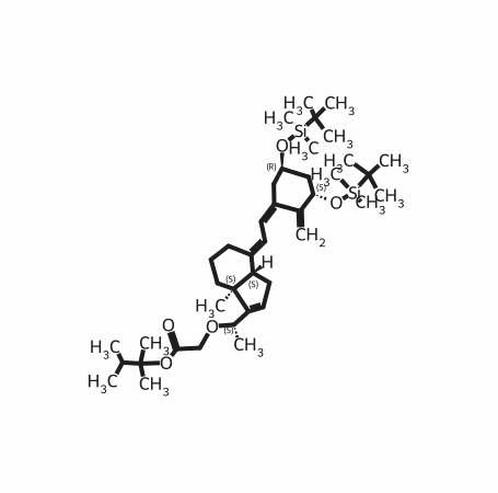 C=C1C(=CC=C2CCC[C@]3(C)C([C@H](C)OCC(=O)OC(C)(C)C(C)C)=CC[C@@H]23)C[C@@H](O[Si](C)(C)C(C)(C)C)C[C@@H]1O[Si](C)(C)C(C)(C)C